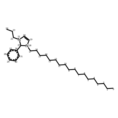 CCCCCCCCCCCCCCCCCCN1C=CN(CCC)C1c1ccccc1